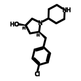 O[C@@H]1C[C@H](Cc2ccc(Cl)cc2)N(C2CCNCC2)C1